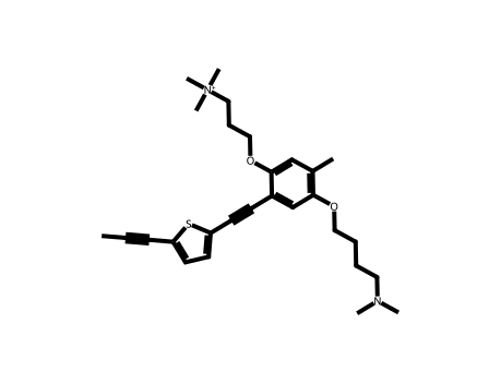 CC#Cc1ccc(C#Cc2cc(OCCCCN(C)C)c(C)cc2OCCC[N+](C)(C)C)s1